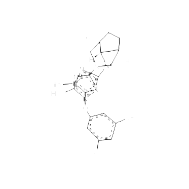 Cc1noc(N2C[C@H]3CC[C@@H](C2)[C@@H]3Nc2nc(Oc3cc(Cl)cc(C(F)(F)F)c3)n(C(C)C)n2)n1